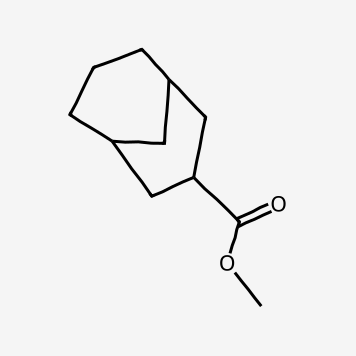 COC(=O)C1CC2CCCC(C2)C1